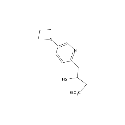 CCOC(=O)CC(S)Cc1ccc(N2CCC2)cn1